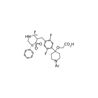 CC(=O)N1CCC(OCC(=O)O)(c2cc(F)c(CC3[C@H](C)NC[C@@H](c4ccccc4)S3(=O)=O)cc2F)CC1